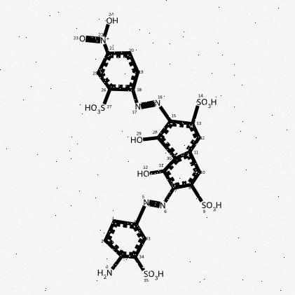 Nc1ccc(/N=N/c2c(S(=O)(=O)O)cc3cc(S(=O)(=O)O)c(/N=N/c4ccc([N+](=O)O)cc4S(=O)(=O)O)c(O)c3c2O)cc1S(=O)(=O)O